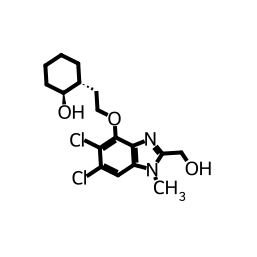 Cn1c(CO)nc2c(OCC[C@H]3CCCC[C@@H]3O)c(Cl)c(Cl)cc21